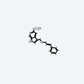 CCOC(=O)c1cc2c(COCC=Cc3ccccc3)c[nH]c2cn1